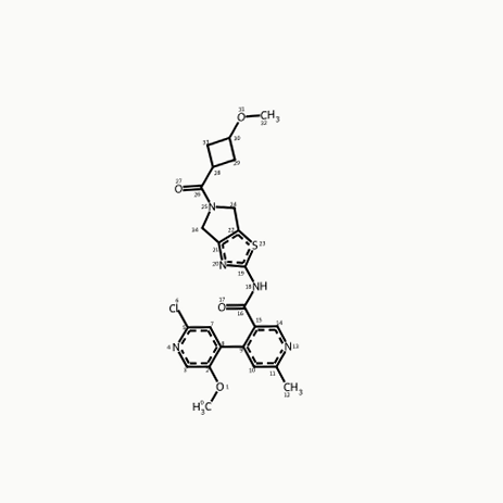 COc1cnc(Cl)cc1-c1cc(C)ncc1C(=O)Nc1nc2c(s1)CN(C(=O)C1CC(OC)C1)C2